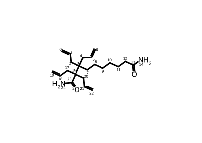 C=CCC(CC=C)(CCCCCCC(N)=O)C(CC=C)(CC=C)C(N)=O